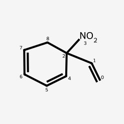 C=CC1([N+](=O)[O-])C=CC=CC1